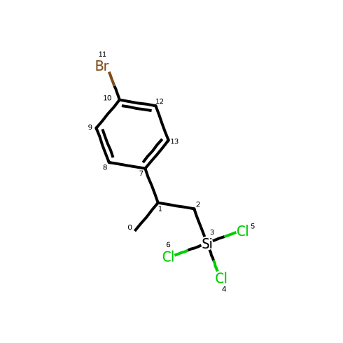 CC(C[Si](Cl)(Cl)Cl)c1ccc(Br)cc1